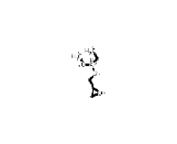 CC[SiH](OC)OCC1CO1